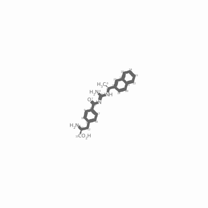 C[C@@H](N/C(N)=N/C(=O)c1ccc(C[C@H](N)C(=O)O)cc1)c1ccc2ccccc2c1